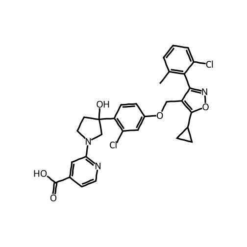 Cc1cccc(Cl)c1-c1noc(C2CC2)c1COc1ccc(C2(O)CCN(c3cc(C(=O)O)ccn3)C2)c(Cl)c1